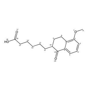 COc1cccc2c1CCC(CCCCCC(=O)O)C2=O